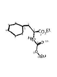 CCOC(=O)[C@H](CC1CCCCC1)NC(=O)OC(C)(C)C